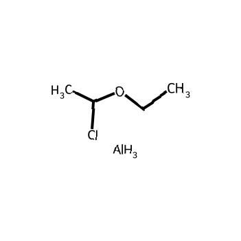 CCOC(C)Cl.[AlH3]